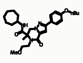 CCCCOc1ccc(-c2cc3n(n2)CC(C)(C(=O)NC2CCCCCC2)N(CCOC)C3=O)cc1